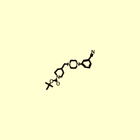 CC(C)(C)OC(=O)N1CCC(CN2CCN(c3cccc(C#N)c3)CC2)CC1